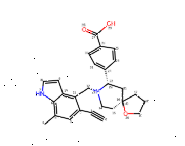 C#Cc1cc(C)c2[nH]ccc2c1CN1CC[C@@]2(CCCO2)C[C@H]1c1ccc(C(=O)O)cc1